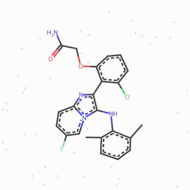 Cc1cccc(C)c1Nc1c(-c2c(Cl)cccc2OCC(N)=O)nc2ccc(F)cn12